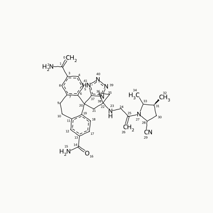 C=C(N)c1ccc2c(c1)CCc1cc(C(N)=O)ccc1C2(CC1(NCC(=C)N2C(C#N)C[C@H](C)C2C)CC1)c1nnn[nH]1